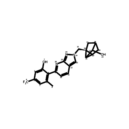 Cc1cc(C(F)(F)F)cc(O)c1-c1ccc2cn(C[C@@]34CC5CC3C4C5O)nc2n1